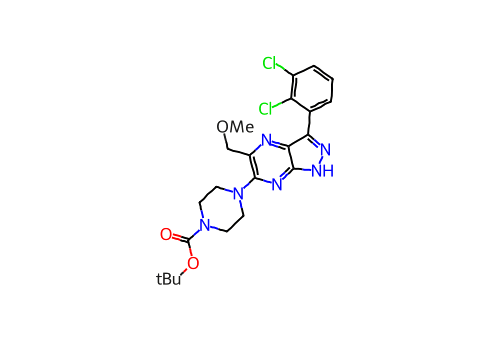 COCc1nc2c(-c3cccc(Cl)c3Cl)n[nH]c2nc1N1CCN(C(=O)OC(C)(C)C)CC1